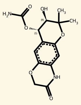 CC1(C)Oc2cc3c(cc2[C@H](OC(N)=O)[C@H]1O)OCC(=O)N3